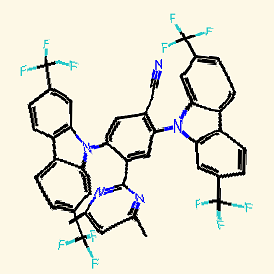 Cc1cc(C)nc(-c2cc(-n3c4cc(C(F)(F)F)ccc4c4ccc(C(F)(F)F)cc43)c(C#N)cc2-n2c3cc(C(F)(F)F)ccc3c3ccc(C(F)(F)F)cc32)n1